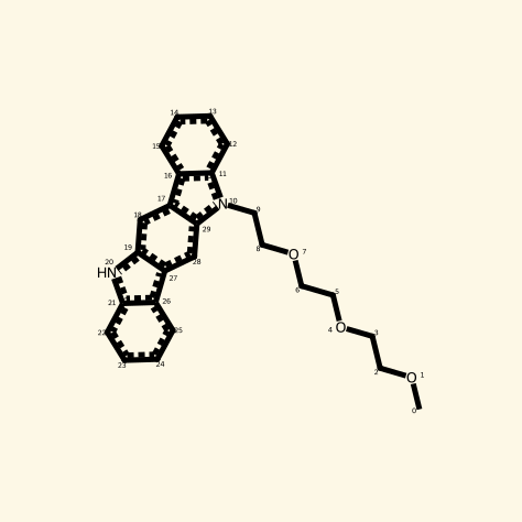 COCCOCCOCCn1c2ccccc2c2cc3[nH]c4ccccc4c3cc21